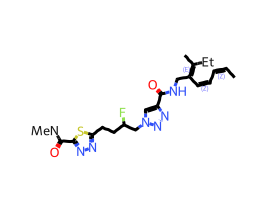 C\C=C/C=C\C(CNC(=O)c1cn(CC(F)CCc2nnc(C(=O)NC)s2)nn1)=C(\C)CC